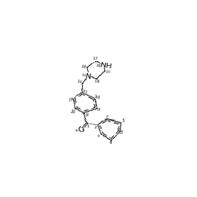 O=C(c1ccccc1)c1ccc(CN2CCNCC2)cc1